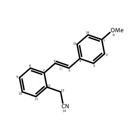 COc1ccc(/C=C/c2ccccc2CC#N)cc1